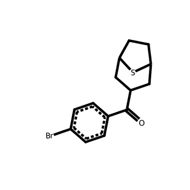 O=C(c1ccc(Br)cc1)C1CC2CCC(C1)S2